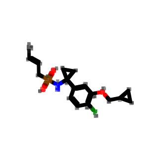 CC/C=C/CS(=O)(=O)NC1(c2ccc(F)c(OCC3CC3)c2)CC1